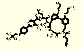 Cc1nc(-c2ccc(OCC(C)(C)C)cc2)ncc1C(=O)N[C@@H](CCN)C(=O)N(C)[C@@H]1C(=O)N[C@@H](C)C(=O)N[C@H](C(=O)NCC#N)Cc2ccc(OCCN)c(c2)-c2cc1ccc2OCCN